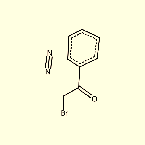 N#N.O=C(CBr)c1ccccc1